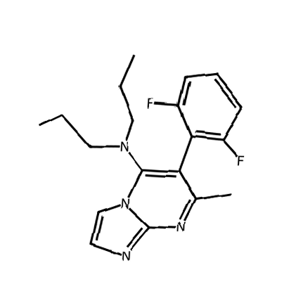 CCCN(CCC)c1c(-c2c(F)cccc2F)c(C)nc2nccn12